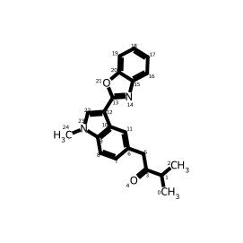 CC(C)C(=O)Cc1ccc2c(c1)c(-c1nc3ccccc3o1)cn2C